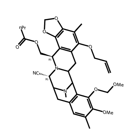 C=CCOc1c(C)c2c(c3c1CC1C4c5c(cc(C)c(OC)c5OCOC)CC([C@H](C#N)N1[C@H]3COC(=O)CCC)N4C)OCO2